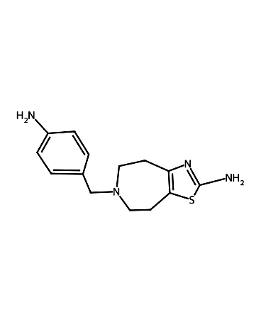 Nc1ccc(CN2CCc3nc(N)sc3CC2)cc1